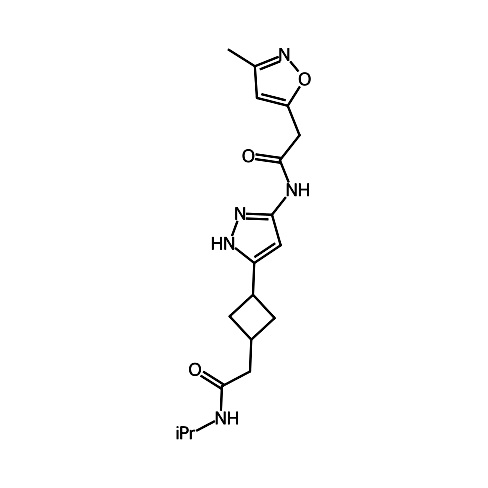 Cc1cc(CC(=O)Nc2cc(C3CC(CC(=O)NC(C)C)C3)[nH]n2)on1